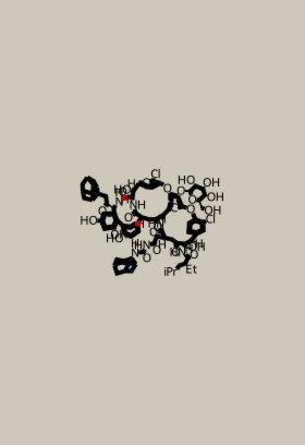 CC[C@H](CC(C)C)C(=O)N[C@H]1C(=O)C[C@@H](CC(=O)NC(=O)NC2C3CC4CC(C3)CC2C4)C(=O)N[C@H]2C(=O)C[C@@H]3C(=O)N[C@H](C(=O)N[C@H](C(=O)CC4C5CC6CC(C5)CC4C6)c4cc(O)cc(O)c4-c4cc3ccc4O)[C@H](O)c3ccc(c(Cl)c3)Oc3cc2cc(c3O[C@@H]2O[C@H](CO)[C@@H](O)[C@H](O)[C@H]2O)Oc2ccc(cc2Cl)[C@H]1O